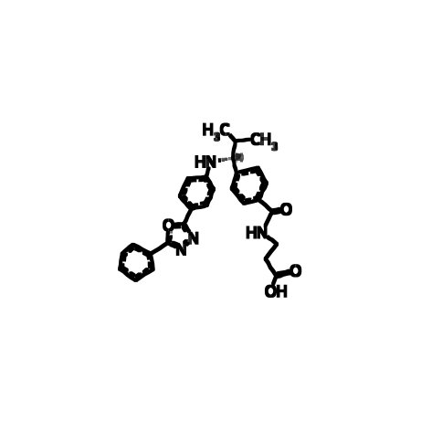 CC(C)[C@@H](Nc1ccc(-c2nnc(-c3ccccc3)o2)cc1)c1ccc(C(=O)NCCC(=O)O)cc1